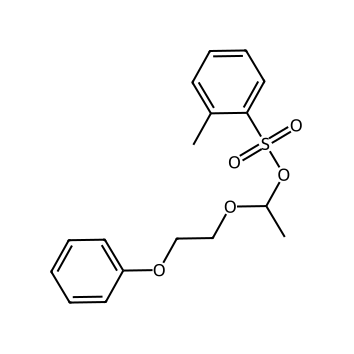 Cc1ccccc1S(=O)(=O)OC(C)OCCOc1ccccc1